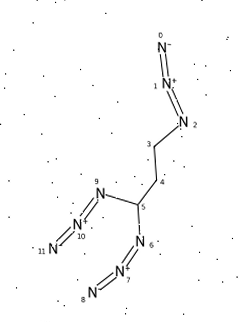 [N-]=[N+]=NCCC(N=[N+]=[N-])N=[N+]=[N-]